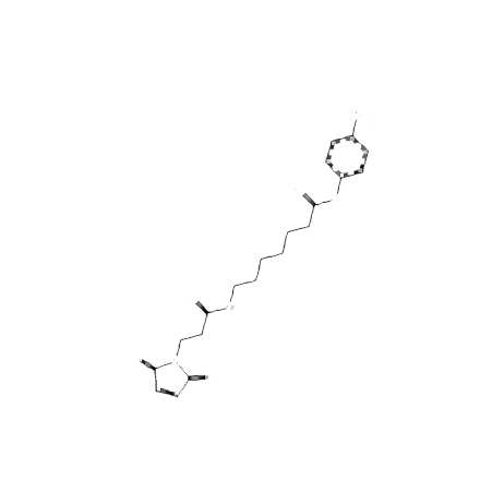 O=C(CCN1C(=O)C=CC1=O)NCCCCCCC(=O)Oc1ccc([N+](=O)[O-])cc1